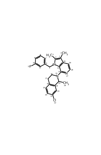 Cc1c(C)n(Cc2cccc(F)c2)c2c(N3CCc4ccc(Cl)cc4C3C)nccc12